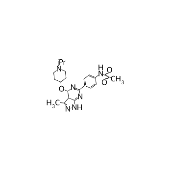 CC1=NNC2=NC(c3ccc(NS(C)(=O)=O)cc3)=NC(OC3CCN(C(C)C)CC3)C12